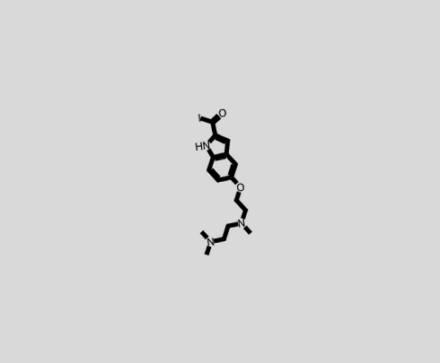 CN(C)CCN(C)CCOc1ccc2[nH]c(C(=O)I)cc2c1